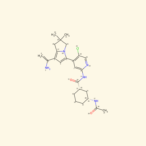 C=C(N)c1cc(-c2cc(NC(=O)[C@H]3CCC[C@@H](NC(C)=O)C3)ncc2Cl)n2c1CC(C)(C)C2